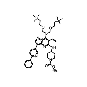 C=Cc1c(NC2CCN(C(=O)OC(C)(C)C)CC2)nc2c(-c3ccc(-c4ccccc4)nc3)cnn2c1N(COCC[Si](C)(C)C)COCC[Si](C)(C)C